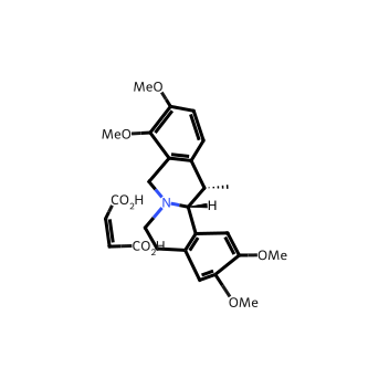 COc1cc2c(cc1OC)[C@H]1[C@@H](C)c3ccc(OC)c(OC)c3CN1CC2.O=C(O)/C=C\C(=O)O